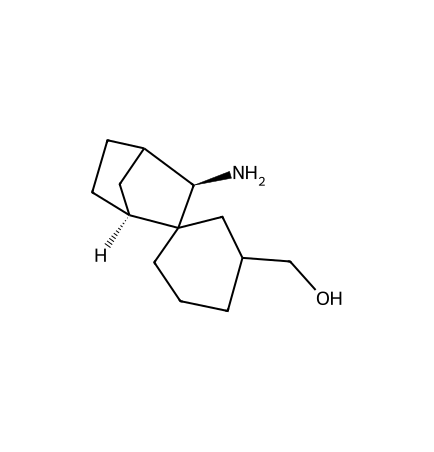 N[C@@H]1C2CC[C@@H](C2)C12CCCC(CO)C2